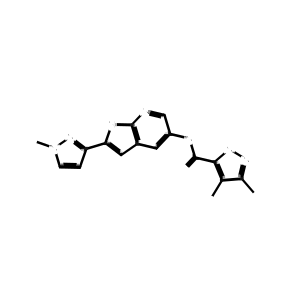 Cc1n[nH]c(C(=O)Nc2cnc3[nH]c(-c4ccn(C)n4)cc3c2)c1C